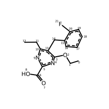 CCOc1nc(C(=O)O)nc(CC)c1Cc1ccccc1F